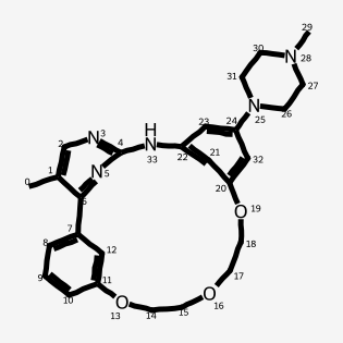 Cc1cnc2nc1-c1cccc(c1)OCCOCCOc1cc(cc(N3CCN(C)CC3)c1)N2